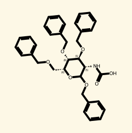 O=C(O)N[C@@H]1C(OCc2ccccc2)O[C@H](COCc2ccccc2)[C@H](OCc2ccccc2)[C@H]1OCc1ccccc1